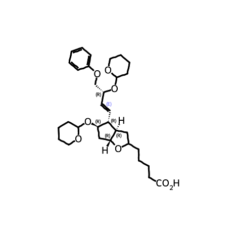 O=C(O)CCCCC1C[C@@H]2[C@@H](/C=C/[C@H](COc3ccccc3)OC3CCCCO3)[C@H](OC3CCCCO3)C[C@H]2O1